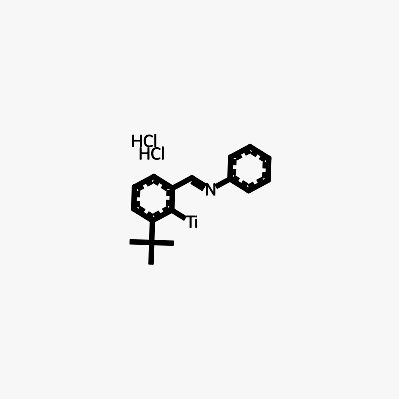 CC(C)(C)c1cccc(C=Nc2ccccc2)[c]1[Ti].Cl.Cl